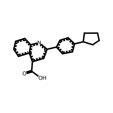 O=C(O)c1cc(-c2ccc(C3CCCC3)cc2)nc2ccccc12